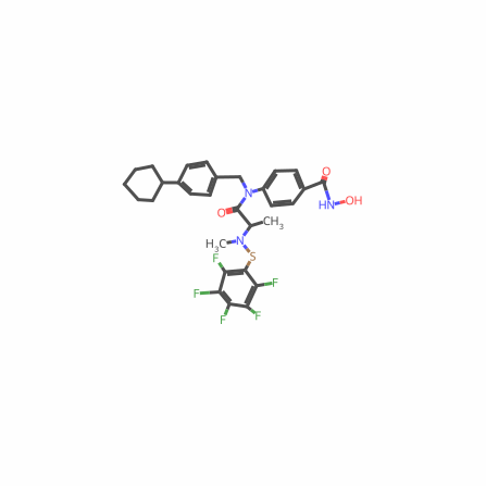 CC(C(=O)N(Cc1ccc(C2CCCCC2)cc1)c1ccc(C(=O)NO)cc1)N(C)Sc1c(F)c(F)c(F)c(F)c1F